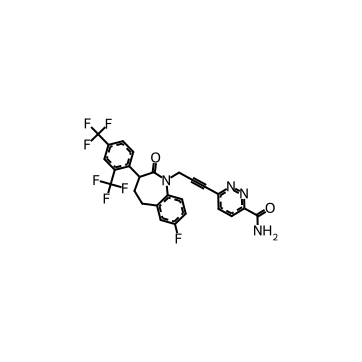 NC(=O)c1ccc(C#CCN2C(=O)C(c3ccc(C(F)(F)F)cc3C(F)(F)F)CCc3cc(F)ccc32)nn1